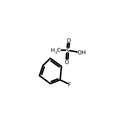 CS(=O)(=O)O.Fc1ccccc1